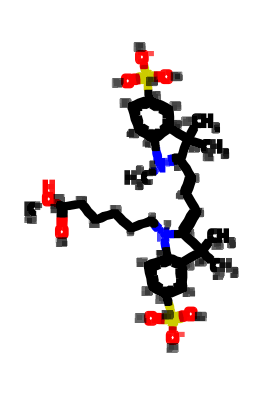 C[N+]1=C(C=CC=C2N(CCCCCC(=O)O)c3ccc(S(=O)(=O)[O-])cc3C2(C)C)C(C)(C)c2cc(S(=O)(=O)[O-])ccc21.[K+]